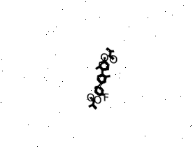 C=C(C)C(=O)Oc1ccc(-c2ccc(-c3ccc(OC(=O)C(=C)C)c(F)c3)cc2C)c(C)c1